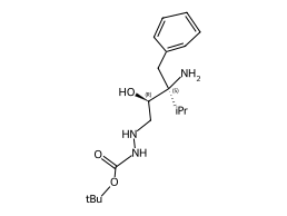 CC(C)[C@@](N)(Cc1ccccc1)[C@H](O)CNNC(=O)OC(C)(C)C